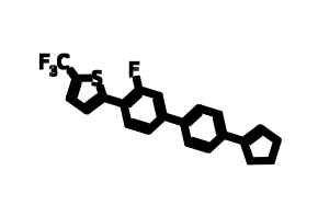 Fc1cc(-c2ccc(C3=CCCC3)cc2)ccc1-c1ccc(C(F)(F)F)s1